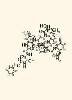 C[C@H](NC(=O)OCc1ccccc1)C(=O)NCC(=O)N[C@@H](CC(N)=O)C(=O)N[C@@H](CCN(C(=O)CO)[C@@H](c1cc(-c2cc(F)ccc2F)cn1Cc1ccccc1)C(C)(C)C)C(=O)NCCNC(=O)CN